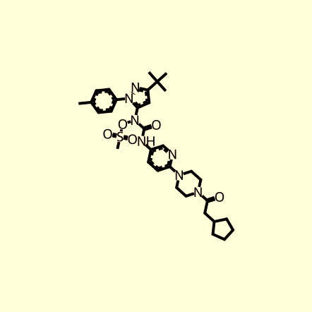 Cc1ccc(-n2nc(C(C)(C)C)cc2N(OS(C)(=O)=O)C(=O)Nc2ccc(N3CCN(C(=O)CC4CCCC4)CC3)nc2)cc1